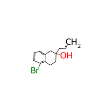 C=CCC1(O)CCc2c(Br)cccc2C1